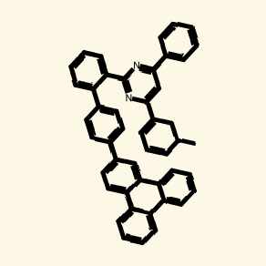 CC1C=CC=C(c2cc(-c3ccccc3)nc(-c3ccccc3-c3ccc(-c4ccc5c6ccccc6c6ccccc6c5c4)cc3)n2)C1